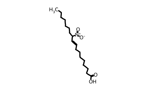 CCCCCCCC(C=CCCCCCCCC(=O)O)[N+](=O)[O-]